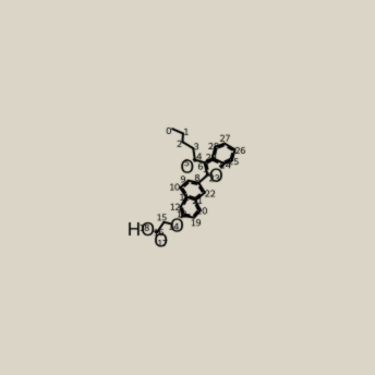 CCCCC(=O)c1c(-c2ccc3cc(OCC(=O)O)ccc3c2)oc2ccccc12